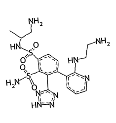 CC(CN)NS(=O)(=O)c1ccc(-c2cccnc2NCCN)c(-c2nn[nH]n2)c1S(N)(=O)=O